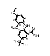 COc1ccc(Nc2ccc(C(F)(F)F)cc2C(=O)O)c(OC)c1